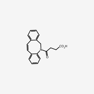 O=C(O)CCC(=O)N1Cc2ccccc2/C=C\c2ccccc21